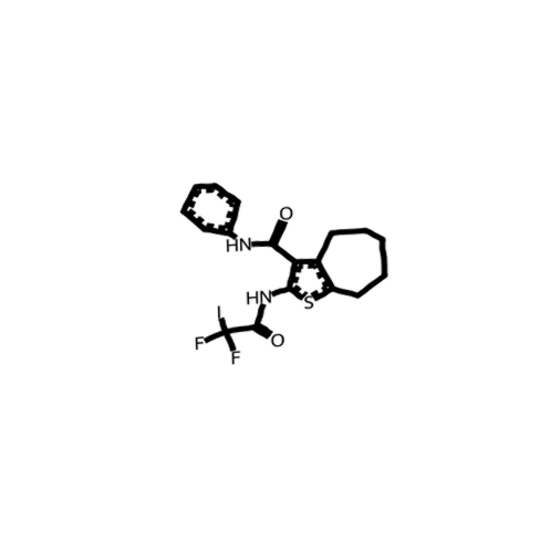 O=C(Nc1ccccc1)c1c(NC(=O)C(F)(F)I)sc2c1CCCCC2